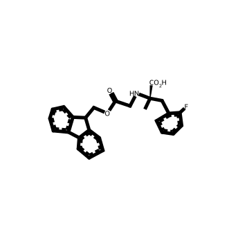 C[C@@](Cc1ccccc1F)(NCC(=O)OCC1c2ccccc2-c2ccccc21)C(=O)O